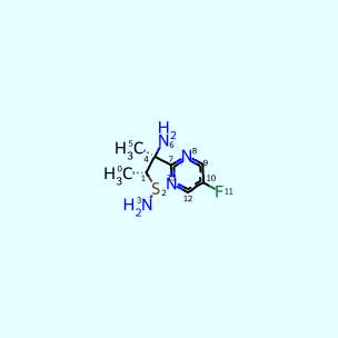 C[C@@H](SN)[C@@](C)(N)c1ncc(F)cn1